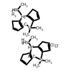 C[SiH](C)[Hf+]([C]1=CC=CC1)[C]1=C([Si](C)(C)C)C=CC1.C[SiH](C)[Hf+]([C]1=CC=CC1)[C]1=C([Si](C)(C)C)C=CC1.[Cl-].[Cl-]